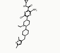 CC[C@H]1CN(c2nc(N)c(C(=O)NC3CC3)nc2Cl)CCN1C1CCN(Cc2cc(C)nn2C)CC1